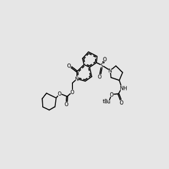 CC(C)(C)OC(=O)NC1CCN(S(=O)(=O)c2cccc3c(=O)n(COC(=O)OC4CCCCC4)ccc23)C1